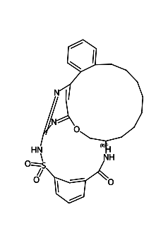 O=C1N[C@@H]2CCCCCCCc3ccccc3-c3cc(nc(n3)NS(=O)(=O)c3cccc1c3)OC2